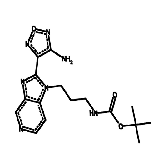 CC(C)(C)OC(=O)NCCCn1c(-c2nonc2N)nc2cnccc21